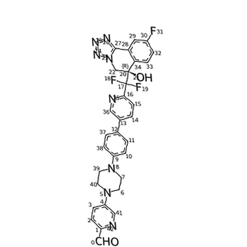 O=Cc1ccc(N2CCN(c3ccc(-c4ccc(C(F)(F)[C@]5(O)Cn6nnnc6-c6cc(F)ccc65)nc4)cc3)CC2)cn1